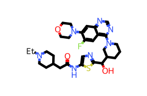 CCN1CCC(CC(=O)Nc2cnc(C(O)C3CCCN(c4ncnc5cc(N6CCOCC6)c(F)cc45)C3)s2)CC1